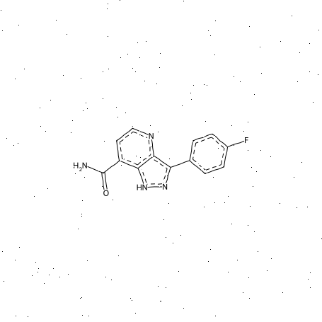 NC(=O)c1c[c]nc2c(-c3ccc(F)cc3)n[nH]c12